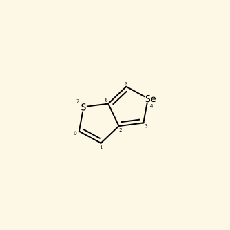 c1cc2c[se]cc2s1